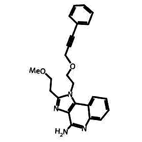 COCCc1nc2c(N)nc3ccccc3c2n1CCOCC#Cc1ccccc1